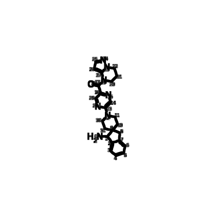 NC1c2ccccc2CC12CCN(c1cnc(C(=O)N3CCCn4nccc43)cn1)CC2